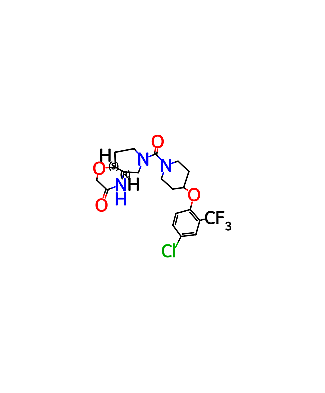 O=C1CO[C@H]2CCN(C(=O)N3CCC(Oc4ccc(Cl)cc4C(F)(F)F)CC3)C[C@H]2N1